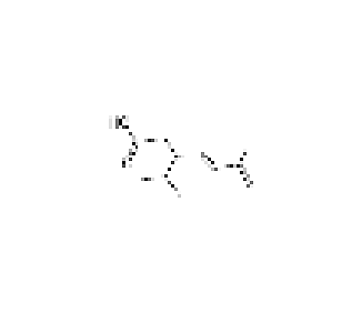 C=C(C)C=CC(CC(=O)O)C(C)C